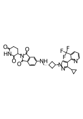 O=C1CCC(N2C(=O)c3ccc(NC[C@H]4C[C@H](n5cc(-c6ncccc6C(F)(F)F)c(C6CC6)n5)C4)cc3C2=O)C(=O)N1